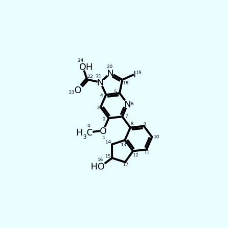 COc1cc2c(nc1-c1cccc3c1CC(O)C3)c(I)nn2C(=O)O